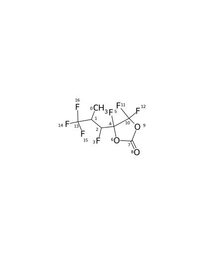 CC(C(F)C1(F)OC(=O)OC1(F)F)C(F)(F)F